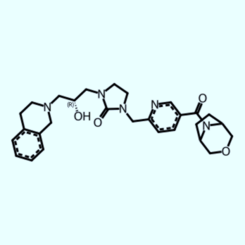 O=C1N(Cc2ccc(C(=O)N3C4CCC3COC4)cn2)CCN1C[C@H](O)CN1CCc2ccccc2C1